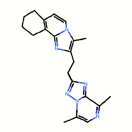 Cc1ncc(C)n2nc(CCc3nc4c5c(ccn4c3C)CCCC5)nc12